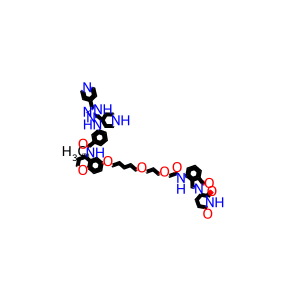 C[C@@]1(NC(=O)c2cccc(NC3(c4nnc(-c5ccncc5)[nH]4)CCNCC3)c2)CCOc2ccc(OCCCCCOCCCOCC(=O)Nc3cccc4c3CN(C3CCC(=O)NC3=O)C4=O)cc21